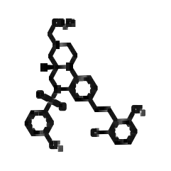 CCOC(=O)CN1CCN2c3ccc(/C=C/c4c(Cl)cccc4C(F)(F)F)cc3N(S(=O)(=O)c3cccc(C(F)(F)F)c3)C[C@@H]2C1